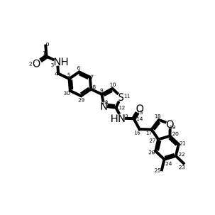 CC(=O)NCc1ccc(-c2csc(NC(=O)Cc3coc4cc(C)c(C)cc34)n2)cc1